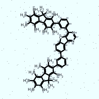 Bc1c(B)c(B)c2c(c1B)-c1c(B)c(B)c(-c3cccc(-c4ccc5oc6c(-c7cccc(-c8c(B)c(B)c9c(c8B)C(C)(C)c8c(B)c(B)c(B)c(B)c8-9)c7)ncnc6c5c4)c3)c(B)c1C2(C)C